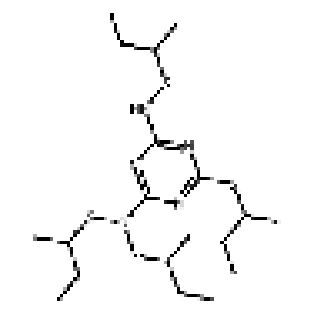 CCC(C)SNc1nc(SC(C)CC)nc(N(SC(C)CC)SC(C)CC)n1